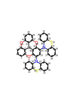 c1cc2c3c(c1)Oc1c(N4c5ccccc5Sc5ccccc54)cc(N4c5ccccc5Sc5ccccc54)c4c1B3c1c(cccc1O4)O2